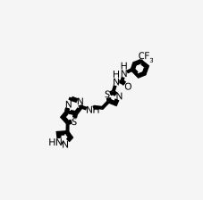 O=C(Nc1cccc(C(F)(F)F)c1)Nc1ncc(CCNc2ncnc3cc(-c4cn[nH]c4)sc23)s1